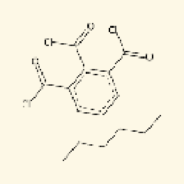 CCCCCC.O=C(Cl)c1cccc(C(=O)Cl)c1C(=O)Cl